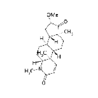 CO[C@H]1C[C@H]2[C@@H]3CC[C@H]4N(C)C(=O)C=C[C@]4(C)[C@H]3CC[C@]2(C)C1=O